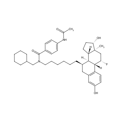 CC(=O)Nc1ccc(C(=O)N(CCCCCC[C@@H]2Cc3cc(O)ccc3[C@@H]3[C@@H]2[C@@H]2CC[C@H](O)[C@@]2(C)C[C@@H]3F)CC2CCCCC2)cc1